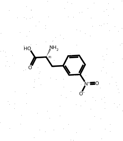 N[C@H](Cc1cccc([N+](=O)[O-])c1)C(=O)O